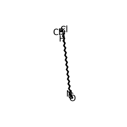 O=C=NCCCCCCCCCCCCCCCCCCCCCCCCC[SiH](Cl)Cl